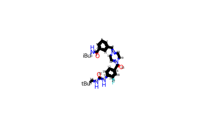 CC[C@@H](C)NC(=O)c1cccc(CN2CCN(C(=O)c3ccc(NC(=O)NCC(C)(C)C)c(F)c3)CC2)c1